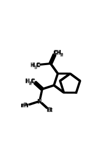 C=C(C)C1C2CCC(C2)C1C(=C)N(CC)CCC